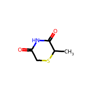 CC1SCC(=O)NC1=O